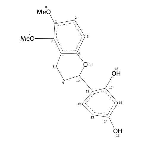 COc1ccc2c(c1OC)CCC(c1ccc(O)cc1O)O2